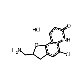 Cl.NCC1Cc2cc(Cl)c3[nH]c(=O)ccc3c2O1